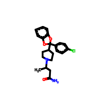 CC(CC(N)=O)N1CCC(C2(c3ccc(Cl)cc3)Oc3ccccc3O2)CC1